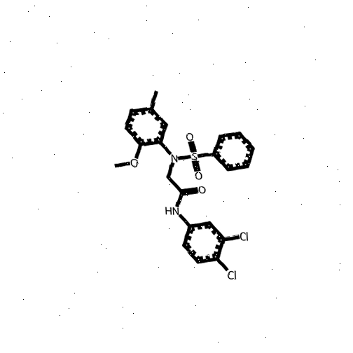 COc1ccc(C)cc1N(CC(=O)Nc1ccc(Cl)c(Cl)c1)S(=O)(=O)c1ccccc1